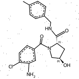 Cc1ccc(CNC(=O)[C@@H]2C[C@@H](O)CN2C(=O)c2ccc(Cl)c(N)c2)cc1